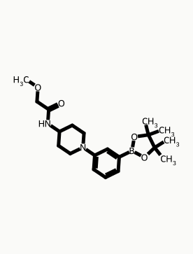 COCC(=O)NC1CCN(c2cccc(B3OC(C)(C)C(C)(C)O3)c2)CC1